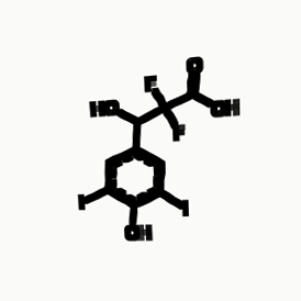 O=C(O)C(F)(F)C(O)c1cc(I)c(O)c(I)c1